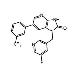 O=c1[nH]c2ncc(-c3cccc(C(F)(F)F)c3)cc2n1Cc1cncc(F)c1